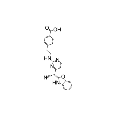 N#CC(=C1Nc2ccccc2O1)c1ccnc(NCCc2ccc(C(=O)O)cc2)n1